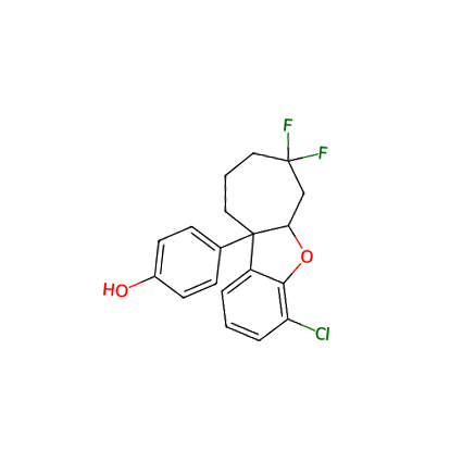 Oc1ccc(C23CCCC(F)(F)CC2Oc2c(Cl)cccc23)cc1